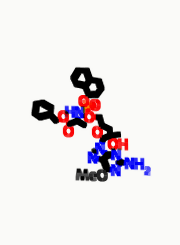 COc1nc(N)nc2c1ncn2C1OC(COP(=O)(NC(C)C(=O)OCc2ccccc2)Oc2cccc3ccccc23)CC1(C)O